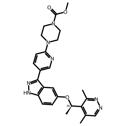 COC(=O)N1CCN(c2ccc(-c3n[nH]c4ccc(O[C@H](C)c5c(C)cnnc5C)cc34)cn2)CC1